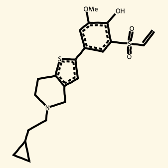 C=CS(=O)(=O)c1cc(-c2cc3c(s2)CCN(CCC2CC2)C3)cc(OC)c1O